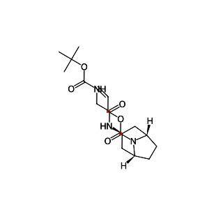 C=CCOC(=O)N1[C@@H]2CC[C@H]1C[C@H](NC(=O)CNC(=O)OC(C)(C)C)C2